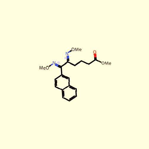 CO/N=C(CCCC(=O)OC)/C(=N/OC)c1ccc2ccccc2c1